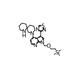 C[Si](C)(C)CCOCn1cc(-c2ncsn2)c2c(N3CCCC4(CCCCN4)C3)ccnc21